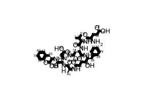 CC(C)[C@H](NC(=O)[C@@H](N)CCC(=O)O)C(=O)N[C@@H](CC(N)=O)C(=O)N[C@@H](Cc1ccccc1)[C@@H](O)CCC(=O)N[C@@H](C)C(=O)N[C@@H](CCC(=O)O)C(=O)N[C@@H](Cc1ccccc1)C(=O)O